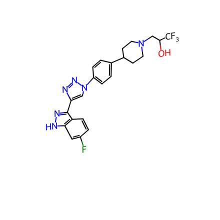 OC(CN1CCC(c2ccc(-n3cc(-c4n[nH]c5cc(F)ccc45)nn3)cc2)CC1)C(F)(F)F